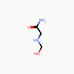 NC(=O)CNCO